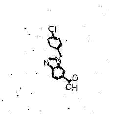 O=C(O)c1ccc2ncn(CC3=CC=C(Cl)CC3)c2c1